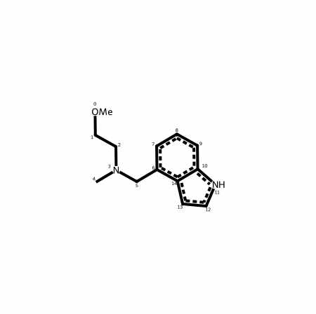 COCCN(C)Cc1c[c]cc2[nH]ccc12